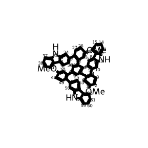 COc1ccc(-c2ccc3c(c2)[nH]c2ccccc23)c(-c2cc(-c3cc(OC)ccc3-c3ccc4c(c3)[nH]c3ccccc34)cc(-c3cc(OC)ccc3-c3ccc4c(c3)[nH]c3ccccc34)c2)c1